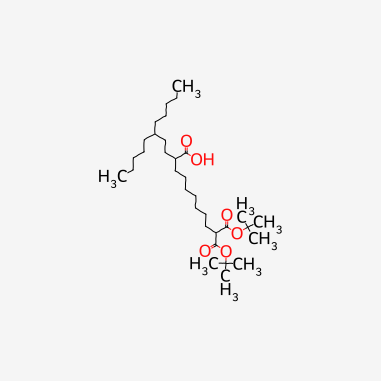 CCCCCC(CCCCC)CCC(CCCCCCCC(C(=O)OC(C)(C)C)C(=O)OC(C)(C)C)C(=O)O